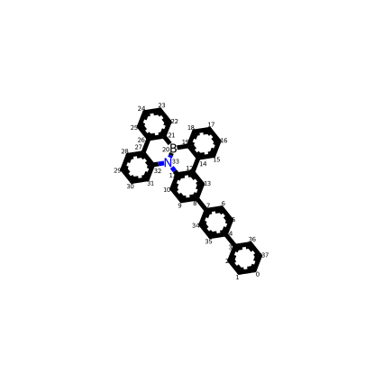 c1ccc(-c2ccc(-c3ccc4c(c3)-c3ccccc3B3c5ccccc5-c5ccccc5N34)cc2)cc1